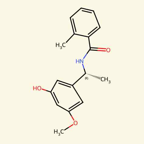 COc1cc(O)cc([C@@H](C)NC(=O)c2ccccc2C)c1